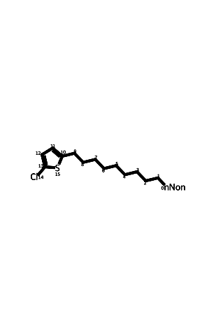 CCCCCCCCCCCCCCCCCCc1ccc(Cl)s1